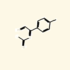 Cc1ccc(/C(C=N)=N/C(=N)Cl)cc1